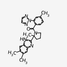 Cc1ccc(C(=O)N2CCCC2(C)c2nc3cc(C)c(C)cc3[nH]2)c(-n2nccn2)c1